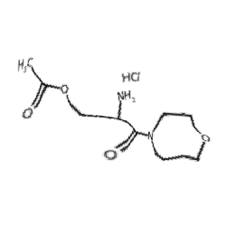 CC(=O)OCC(N)C(=O)N1CCOCC1.Cl